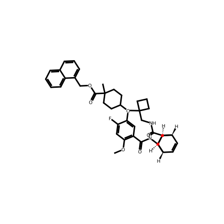 COc1cc(F)c(OC2CCC(C)(C(=O)OCc3cccc4ccccc34)CC2)cc1C(=O)N[C@H]1[C@@H](C(=O)NCC2(C)CCC2)[C@@H]2C=C[C@H]1CC2